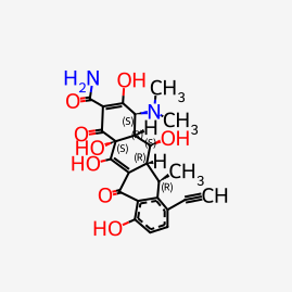 C#Cc1ccc(O)c2c1[C@H](C)[C@@H]1C(=C(O)[C@]3(O)C(=O)C(C(N)=O)=C(O)[C@@H](N(C)C)[C@@H]3[C@H]1O)C2=O